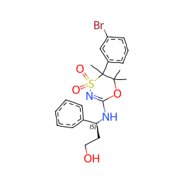 CC1(C)OC(N[C@@H](CCO)c2ccccc2)=NS(=O)(=O)C1(C)c1cccc(Br)c1